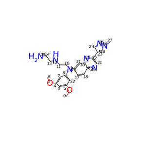 COc1cc(OC)cc(N(CCNCCN)c2ccc3ncc(-c4cnn(C)c4)nc3c2)c1